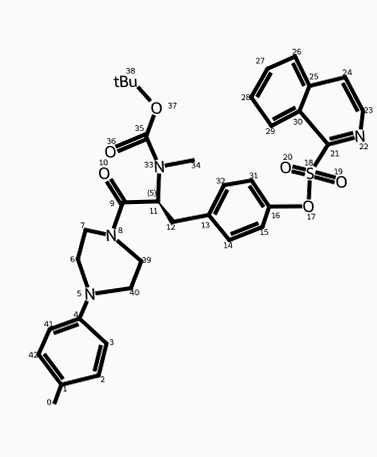 Cc1ccc(N2CCN(C(=O)[C@H](Cc3ccc(OS(=O)(=O)c4nccc5ccccc45)cc3)N(C)C(=O)OC(C)(C)C)CC2)cc1